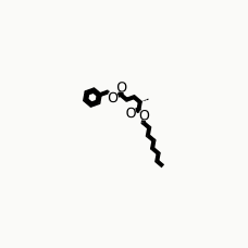 CCCCCCCCOC(=O)[C@@H](C)CCC(=O)OCc1ccccc1